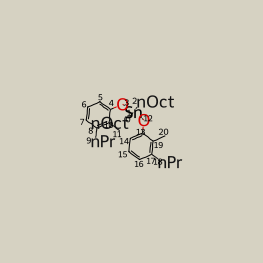 CCCCCCC[CH2][Sn]([CH2]CCCCCCC)([O]c1cccc(CCC)c1C)[O]c1cccc(CCC)c1C